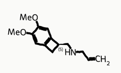 C=CCNC[C@H]1Cc2cc(OC)c(OC)cc21